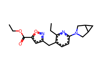 CCOC(=O)c1cc(Cc2ccc(N3CC4CC4C3)nc2CC)no1